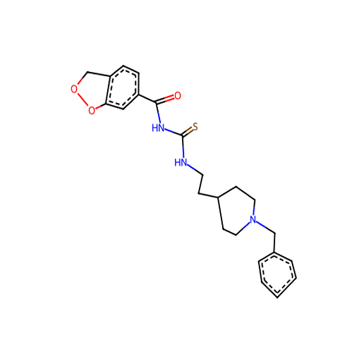 O=C(NC(=S)NCCC1CCN(Cc2ccccc2)CC1)c1ccc2c(c1)OOC2